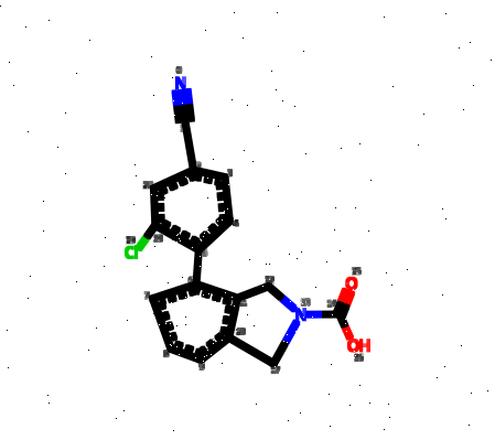 N#Cc1ccc(-c2cccc3c2CN(C(=O)O)C3)c(Cl)c1